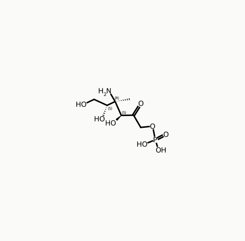 C[C@@](N)([C@H](O)CO)[C@H](O)C(=O)COP(=O)(O)O